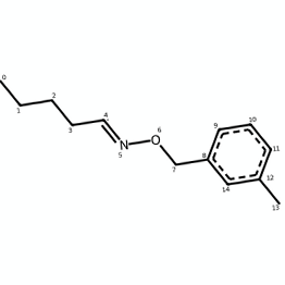 CCCC/[C]=N/OCc1cccc(C)c1